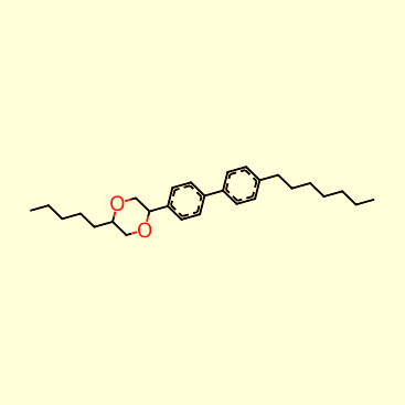 CCCCCCCc1ccc(-c2ccc(C3COC(CCCCC)CO3)cc2)cc1